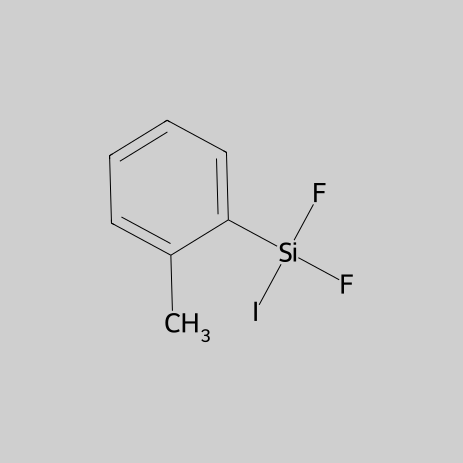 Cc1ccccc1[Si](F)(F)I